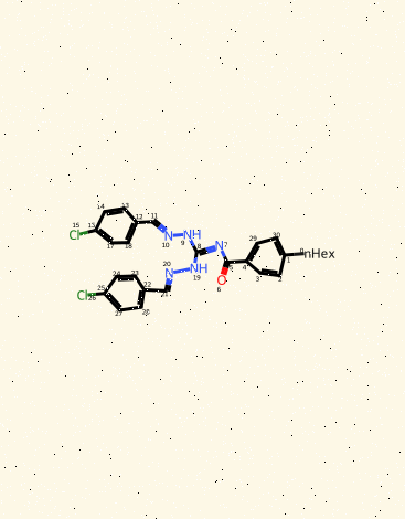 CCCCCCc1ccc(C(=O)N=C(N/N=C/c2ccc(Cl)cc2)N/N=C/c2ccc(Cl)cc2)cc1